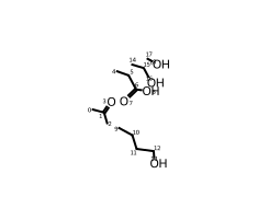 CC(C)=O.CCC(=O)O.CCCCO.CCO.CO